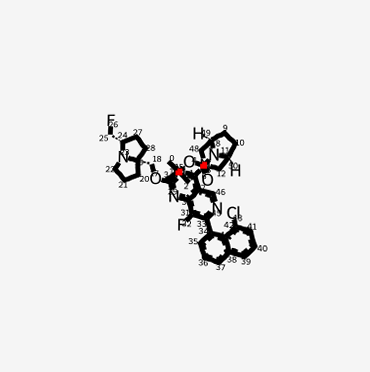 CC(C)(C)OC(=O)N1[C@@H]2CC[C@H]1CN(c1nc(OC[C@]34CCCN3[C@H](CF)CC4)nc3c(F)c(-c4cccc5cccc(Cl)c45)ncc13)C2